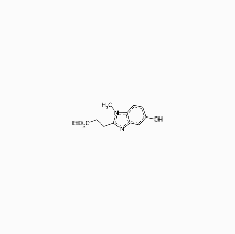 CCOC(=O)CCc1nc2cc(O)ccc2n1C